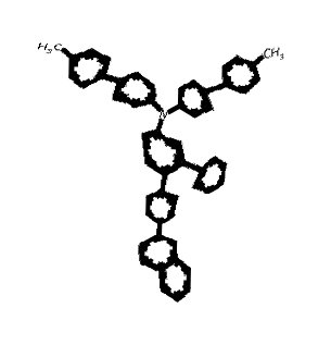 Cc1ccc(-c2ccc(N(c3ccc(-c4ccc(C)cc4)cc3)c3ccc(-c4ccc(-c5ccc6ccccc6c5)cc4)c(-c4ccccc4)c3)cc2)cc1